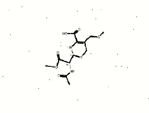 COC(=O)[C@@H](NC(C)=O)[C@@H]1NC(C(=O)O)=C(CSC)CS1